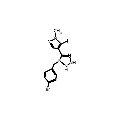 Cn1ncc(C2=NNNN2Cc2ccc(Br)cc2)c1I